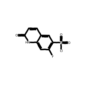 O=c1[c]cc2cc(S(=O)(=O)Cl)c(F)cc2[nH]1